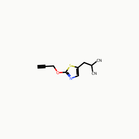 C#CCOc1ncc(CC(C#N)C#N)s1